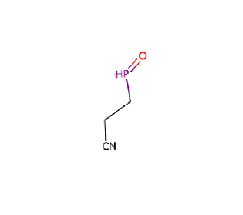 N#CCC[PH]=O